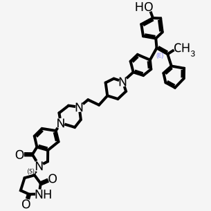 C/C(=C(\c1ccc(O)cc1)c1ccc(N2CCC(CCN3CCN(c4ccc5c(c4)CN([C@H]4CCC(=O)NC4=O)C5=O)CC3)CC2)cc1)c1ccccc1